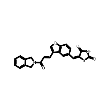 O=C1NC(=O)/C(=C\c2ccc3occ(/C=C/C(=O)N4Cc5ccccc5C4)c3c2)S1